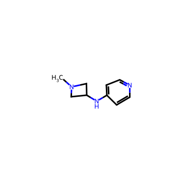 CN1CC(Nc2ccncc2)C1